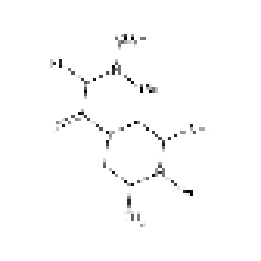 CCC(C(=O)N1CC(C)N(C(C)=O)C(C)C1)N(C(=O)O)C(C)(C)C